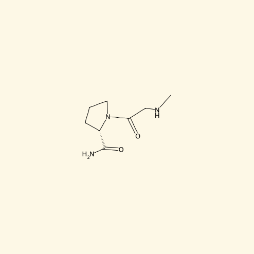 CNCC(=O)N1CCC[C@H]1C(N)=O